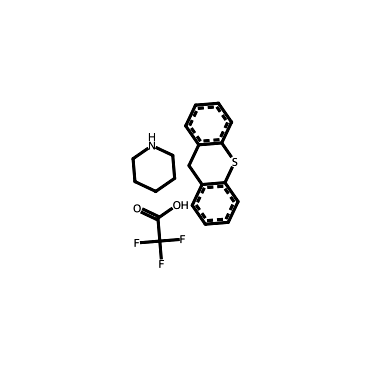 C1CCNCC1.O=C(O)C(F)(F)F.c1ccc2c(c1)Cc1ccccc1S2